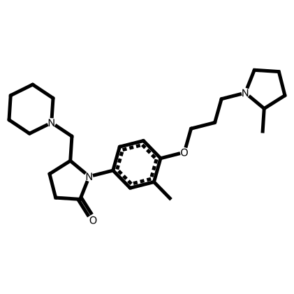 Cc1cc(N2C(=O)CCC2CN2CCCCC2)ccc1OCCCN1CCCC1C